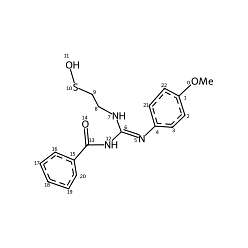 COc1ccc(/N=C(\NCCSO)NC(=O)c2ccccc2)cc1